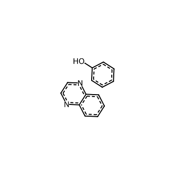 Oc1ccccc1.c1ccc2nccnc2c1